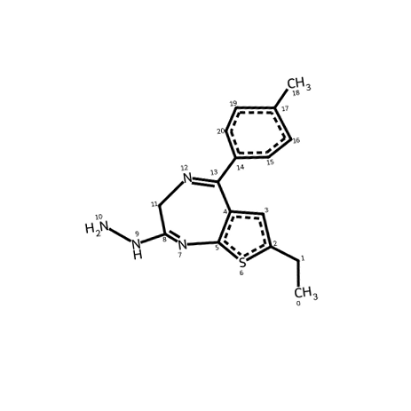 CCc1cc2c(s1)N=C(NN)CN=C2c1ccc(C)cc1